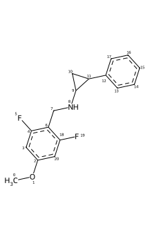 COc1cc(F)c(CNC2CC2c2ccccc2)c(F)c1